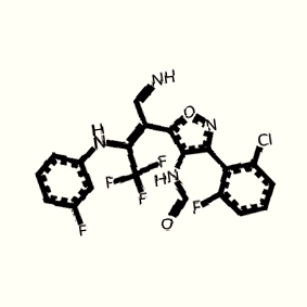 N=C/C(=C(\Nc1cccc(F)c1)C(F)(F)F)c1onc(-c2c(F)cccc2Cl)c1NC=O